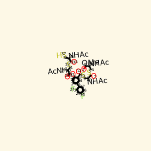 COC(=O)C(CSC(=O)C(CSC(=O)c1cc(-c2ccc(F)cc2F)ccc1OC(=O)C(CSC(=O)C(CS)NC(C)=O)NC(C)=O)NC(C)=O)NC(C)=O